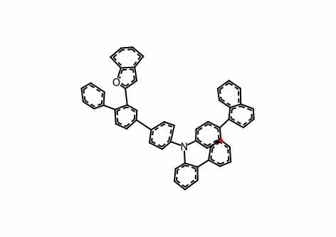 c1ccc(-c2ccc(-c3ccc(N(c4ccc(-c5cccc6ccccc56)cc4)c4ccccc4-c4ccccc4)cc3)cc2-c2cc3ccccc3o2)cc1